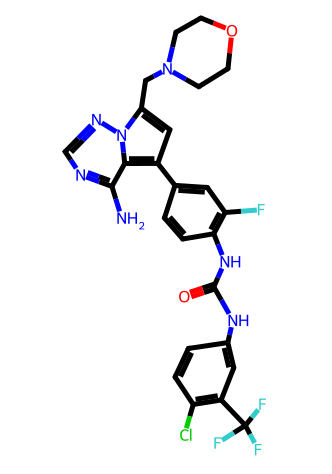 Nc1ncnn2c(CN3CCOCC3)cc(-c3ccc(NC(=O)Nc4ccc(Cl)c(C(F)(F)F)c4)c(F)c3)c12